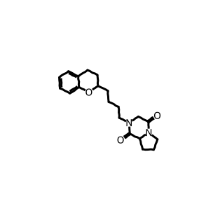 O=C1C2CCCN2C(=O)CN1CCCCC1CCc2ccccc2O1